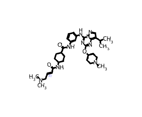 CC(C)c1cnn2c(Nc3cccc(NC(=O)C4CCC(NC(=O)/C=C/CN(C)C)CC4)c3)nc(OC3CCN(C)CC3)nc12